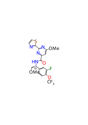 COC[C@@H](NC(=O)c1cc(OC)nc(-c2nccs2)n1)c1ccc(OC(F)(F)F)c(F)c1